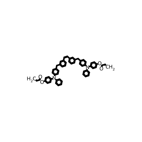 C=CC(=O)Oc1ccc(N(c2ccccc2)c2ccc(Cc3cccc(/C=C\c4cccc(Cc5ccc(N(c6ccccc6)c6ccc(OC(=O)C=C)cc6)cc5)c4)c3)cc2)cc1